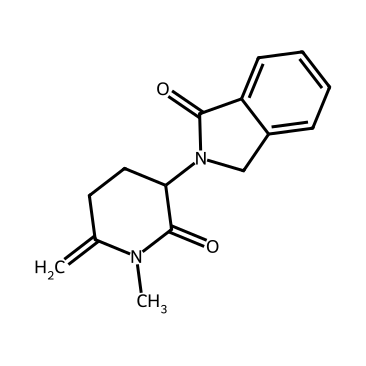 C=C1CCC(N2Cc3ccccc3C2=O)C(=O)N1C